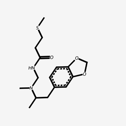 CSCCC(=O)NCN(C)C(C)Cc1ccc2c(c1)OCO2